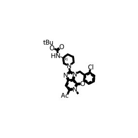 CC(=O)c1cc2nc(N3CCC[C@@H](NC(=O)OC(C)(C)C)C3)n(Cc3ccccc3Cl)c2c(=O)n1C